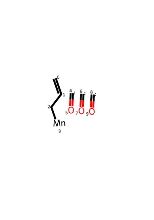 C=C[CH2][Mn].[C]=O.[C]=O.[C]=O